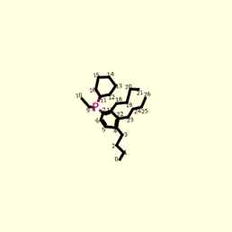 CCCCc1ccc(P(CC)C2CCCCC2)c(CCCC)c1CCCC